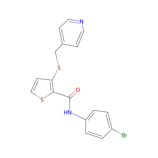 O=C(Nc1ccc(Br)cc1)c1sccc1SCc1ccncc1